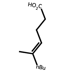 CCCC/C(C)=C/CCC(=O)O